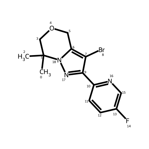 CC1(C)COCc2c(Br)c(-c3ccc(F)cn3)nn21